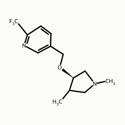 CC1CN(C)C[C@@H]1OCc1ccc(C(F)(F)F)nc1